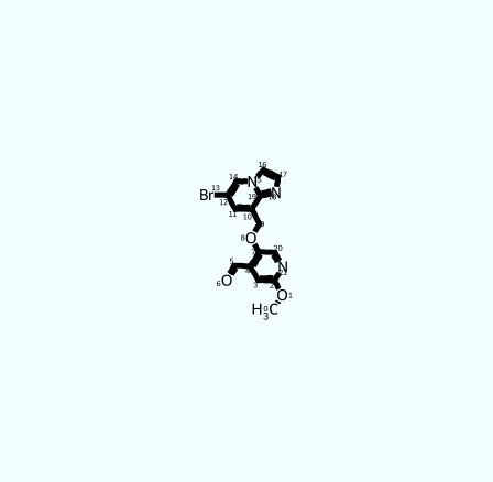 COc1cc(C=O)c(OCc2cc(Br)cn3ccnc23)cn1